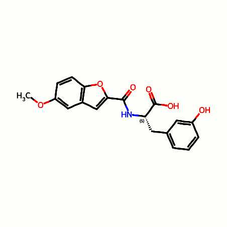 COc1ccc2oc(C(=O)N[C@@H](Cc3cccc(O)c3)C(=O)O)cc2c1